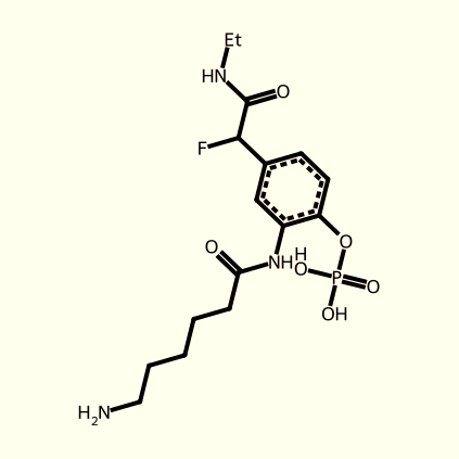 CCNC(=O)C(F)c1ccc(OP(=O)(O)O)c(NC(=O)CCCCCN)c1